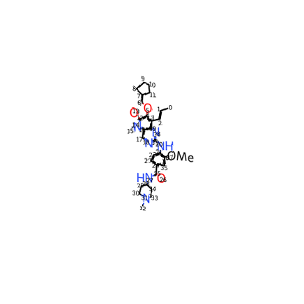 C/C=C/c1c(OCC2CCCC2)c(=O)n(C)c2cnc(Nc3ccc(C(=O)NC4CCN(C)CC4)cc3OC)nc12